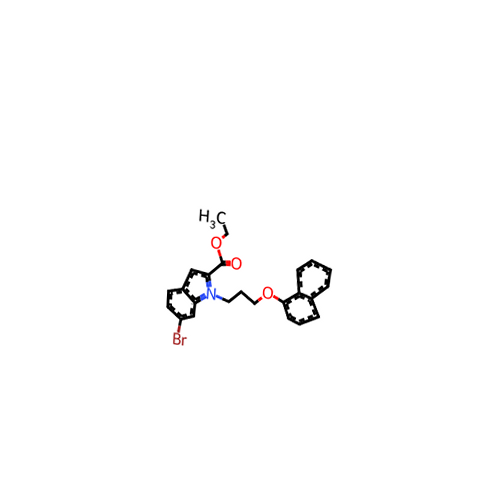 CCOC(=O)c1cc2ccc(Br)cc2n1CCCOc1cccc2ccccc12